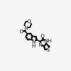 O=C(c1ccc2[nH]c(-c3nc4cscc4[nH]c3=O)cc2c1)N1CCOCC1